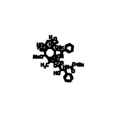 CO[C@H]1C(=O)[C@@]2(C)[C@H]([C@H](OC(=O)c3ccccc3)[C@]3(O)C[C@H](OC(=O)[C@H](O)C(NC(=O)OC(C)(C)C)c4ccccc4)C(C)=C1C3(C)C)[C@]1(OC(C)=O)CO[C@@H]1C[C@@H]2O